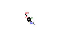 NCc1ccc(OCCO)cc1Cl